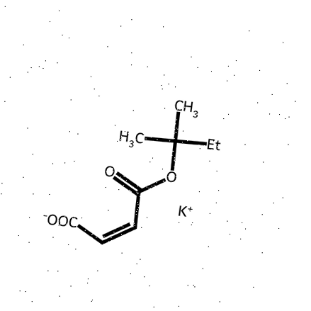 CCC(C)(C)OC(=O)/C=C\C(=O)[O-].[K+]